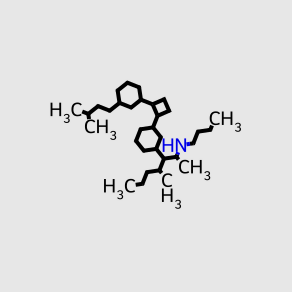 CCCCNC(C)C(C(C)CCC)C1CCCC(C2CCC2C2CCCC(CCC(C)C)C2)C1